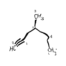 C#C[C@@H](C)C[CH2]